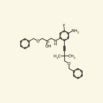 CC(C)(C#Cc1cc(N)c(F)cc1NC[C@@H](O)COCc1ccccc1)COCc1ccccc1